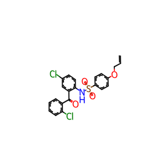 C=CCOc1ccc(S(=O)(=O)Nc2ccc(Cl)cc2C(=O)c2ccccc2Cl)cc1